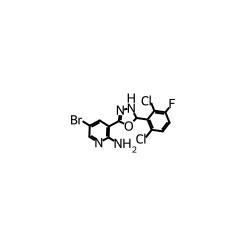 Nc1ncc(Br)cc1C1=NNC(c2c(Cl)ccc(F)c2Cl)O1